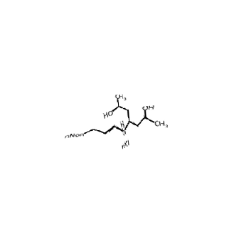 CCCCCCCCCCCCNC(CC(C)O)CC(C)O.Cl